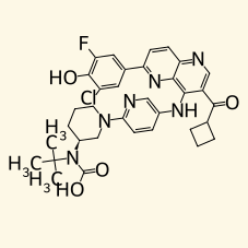 CC(C)(C)N(C(=O)O)[C@H]1CCCN(c2ccc(Nc3c(C(=O)C4CCC4)cnc4ccc(-c5cc(F)c(O)c(Cl)c5)nc34)cn2)C1